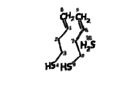 C=CCCS.C=CCCS.S